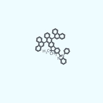 CC1(C)c2cc(-c3nc4ccccc4n3-c3ccccc3)ccc2-c2cc3c(-c4cc5ccccc5c5ccccc45)c4ccccc4c(-c4cc5ccccc5c5ccccc45)c3cc21